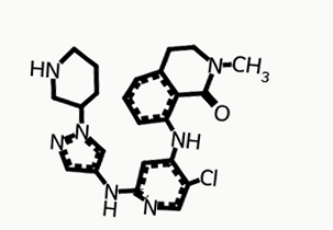 CN1CCc2cccc(Nc3cc(Nc4cnn(C5CCCNC5)c4)ncc3Cl)c2C1=O